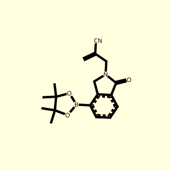 C=C(C#N)CN1Cc2c(B3OC(C)(C)C(C)(C)O3)cccc2C1=O